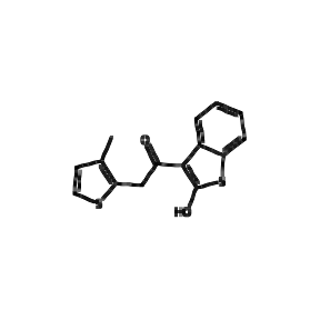 Cc1ccsc1CC(=O)c1c(O)sc2ccccc12